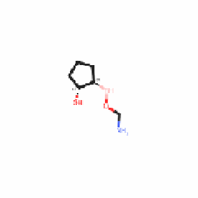 NCOB[C@@H]1CCC[C@H]1O